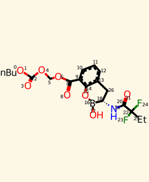 CCCCOC(=O)OCOC(=O)c1cccc2c1OB(O)[C@@H](NC(=O)C(F)(F)CC)C2